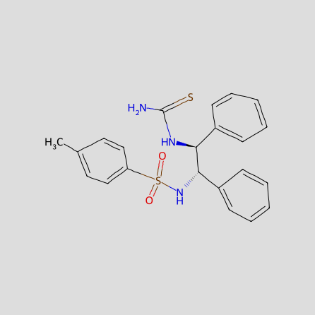 Cc1ccc(S(=O)(=O)N[C@@H](c2ccccc2)[C@@H](NC(N)=S)c2ccccc2)cc1